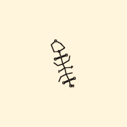 CCC(C)(C(F)(F)C(CC)(CC)S(=O)(=O)N1CCOCC1)S(=O)(=O)O